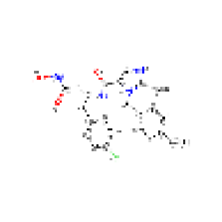 CCCCc1ncc(C(=O)N[C@@H](CC(=O)NO)Cc2ccc(Cl)cc2)n1Cc1ccc(C(=O)O)cc1